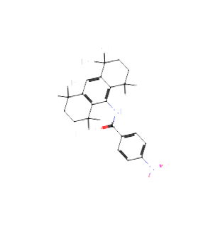 CC1(C)CCC(C)(C)c2c1cc1c(c2NC(=O)c2ccc([N+](=O)[O-])cc2)C(C)(C)CCC1(C)C